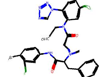 CC(=O)c1ccc(NC(=O)C(Cc2ccccc2)N(C)CC(=O)N(CC=O)c2cc(Cl)ccc2-n2cnnn2)cc1F